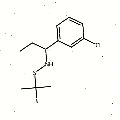 CCC(NSC(C)(C)C)c1cccc(Cl)c1